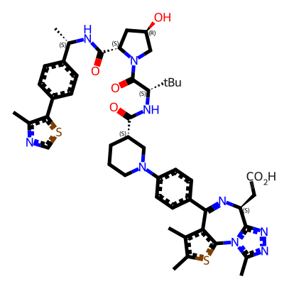 Cc1ncsc1-c1ccc([C@H](C)NC(=O)[C@@H]2C[C@@H](O)CN2C(=O)[C@@H](NC(=O)[C@H]2CCCN(c3ccc(C4=N[C@@H](CC(=O)O)c5nnc(C)n5-c5sc(C)c(C)c54)cc3)C2)C(C)(C)C)cc1